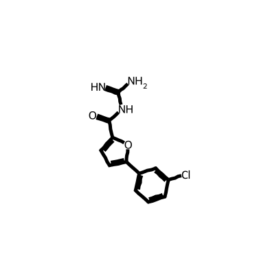 N=C(N)NC(=O)c1ccc(-c2cccc(Cl)c2)o1